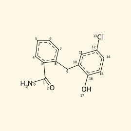 NC(=O)c1ccccc1Cc1cc(Cl)ccc1O